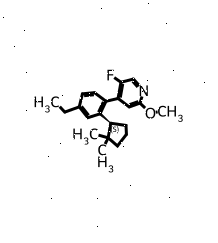 CCc1ccc(-c2cc(OC)ncc2F)c([C@H]2CCCC2(C)C)c1